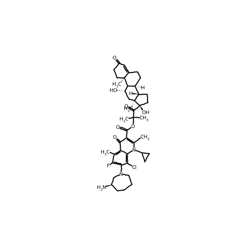 Cc1c(F)c(N2CCCC[C@@H](N)C2)c(Cl)c2c1c(=O)c(C(=O)OC(C)(C)C(=O)[C@@]1(O)CC[C@H]3[C@@H]4CCC5=CC(=O)CC[C@]5(C)C4[C@@H](O)C[C@@]31C)c(C)n2C1CC1